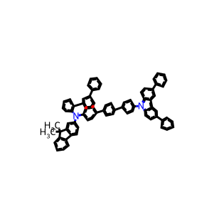 CC1(C)c2ccccc2-c2ccc(N(c3ccc(-c4ccc(-c5ccc(-n6c7ccc(-c8ccccc8)cc7c7cc(-c8ccccc8)ccc76)cc5)cc4)cc3)c3ccccc3-c3cccc(-c4ccccc4)c3)cc21